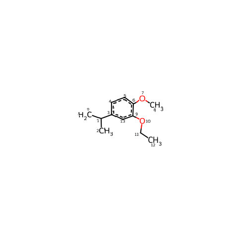 [CH2]C(C)c1ccc(OC)c(OCC)c1